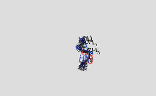 Cc1ncc(C(=O)NCCN2C3CCCC2CCC3)cc1NC(=O)c1cnn2cc(-c3cnn(C)c3)sc12